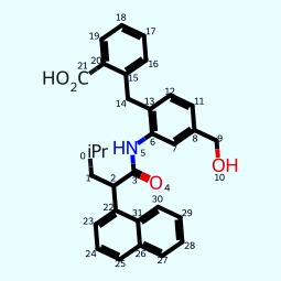 CC(C)CC(C(=O)Nc1cc(CO)ccc1Cc1ccccc1C(=O)O)c1cccc2ccccc12